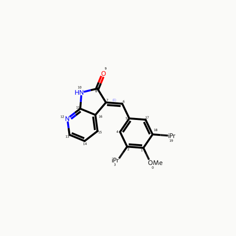 COc1c(C(C)C)cc(/C=C2/C(=O)Nc3ncccc32)cc1C(C)C